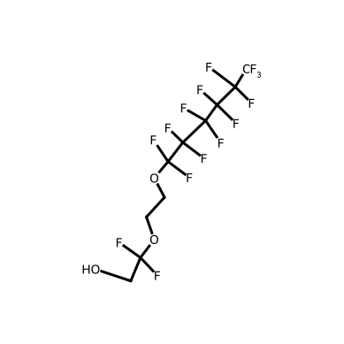 OCC(F)(F)OCCOC(F)(F)C(F)(F)C(F)(F)C(F)(F)C(F)(F)C(F)(F)F